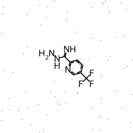 N=C(NN)c1ccc(C(F)(F)F)cn1